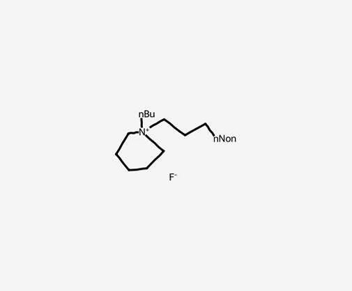 CCCCCCCCCCCC[N+]1(CCCC)CCCCC1.[F-]